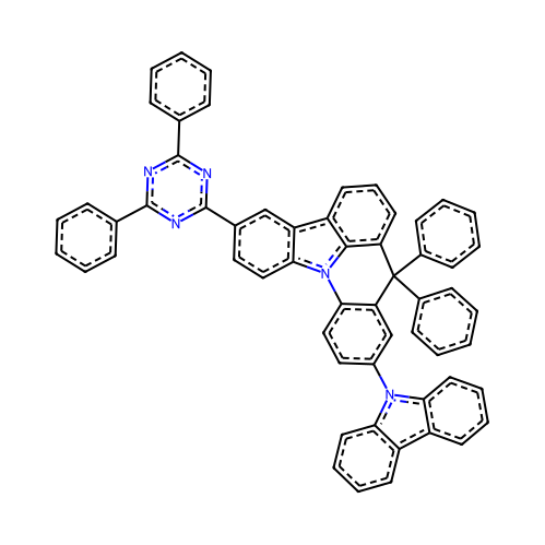 c1ccc(-c2nc(-c3ccccc3)nc(-c3ccc4c(c3)c3cccc5c3n4-c3ccc(-n4c6ccccc6c6ccccc64)cc3C5(c3ccccc3)c3ccccc3)n2)cc1